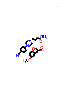 COc1ccc2c(c1)C=C(C(=O)O)CO2.N#Cc1ccc(N2CCN(CCCC(N)=O)CC2)cc1